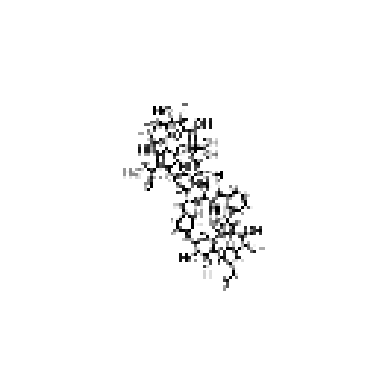 CCCC(=O)OC1C(OC2C(CO)OC(Oc3ccc(CC(NC(=O)C(N)C(C)c4ccccc4)C(=O)NC(C(=O)NC(C(=O)NC([C]=O)CO)C(O)C4CNC(=N)N4C4OC(CO)C(O)C(O)C4O)C(O)C4CNC(=N)N4)cc3)C(O)C2O)OC(CO)C(O)C1O